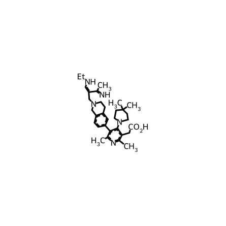 CCN/C=C(/CN1CCc2cc(-c3c(C)nc(C)c(CC(=O)O)c3N3CCC(C)(C)CC3)ccc2C1)C(C)=N